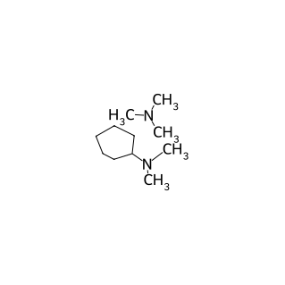 CN(C)C.CN(C)C1CCCCC1